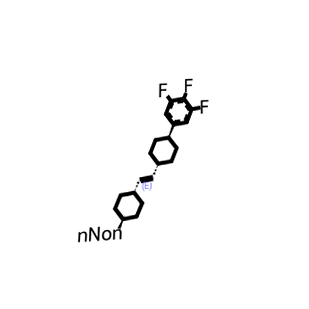 CCCCCCCCC[C@H]1CC[C@H](/C=C/[C@H]2CC[C@H](c3cc(F)c(F)c(F)c3)CC2)CC1